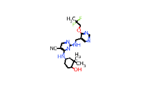 CC(F)(F)COc1ncncc1CNc1ncc(C#N)c(NC2CCC(O)C(C)(C)C2)n1